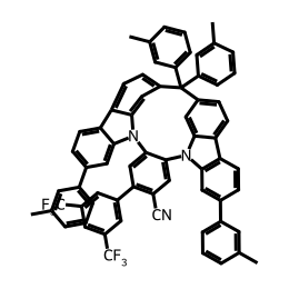 Cc1cccc(-c2ccc3c4ccc5cc4n(c3c2)-c2cc(C#N)c(-c3cc(C(F)(F)F)cc(C(F)(F)F)c3)cc2-n2c3cc(-c4cccc(C)c4)ccc3c3ccc(cc32)C5(c2cccc(C)c2)c2cccc(C)c2)c1